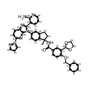 CC1(NC(=O)c2ccc(OCc3ccccc3)c(C3OCCO3)c2)CCc2cc(-n3c(-c4cccnc4N)nc4ccc(-n5cccn5)nc43)ccc21